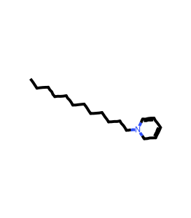 CCCCCCCCCCCCN1C=CC=CC1